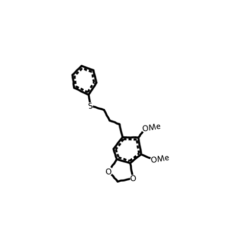 COc1c(CCCSc2ccccc2)cc2c(c1OC)OCO2